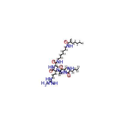 CCCCCC(C)C(=O)NCCCCCCCNC(=O)[C@H]1CN(C2(C(=O)[C@H]3CN[C@@H](CCCC)C(=O)N3)CC2)[C@@H](CCCNC(=N)N)C(=O)N1